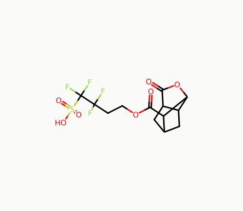 O=C1OC2C3CC(CC13)C2C(=O)OCCC(F)(F)C(F)(F)S(=O)(=O)O